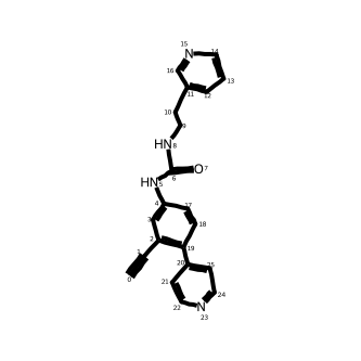 C#Cc1cc(NC(=O)NCCc2cccnc2)ccc1-c1ccncc1